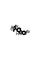 Cc1noc(C)c1-c1cc2[nH]c3ccc(Br)cc3c2cc1Br